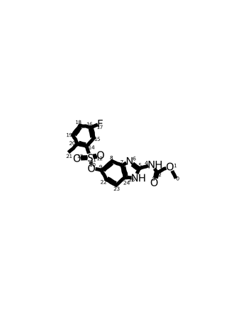 COC(=O)Nc1nc2cc(OS(=O)(=O)c3cc(F)ccc3C)ccc2[nH]1